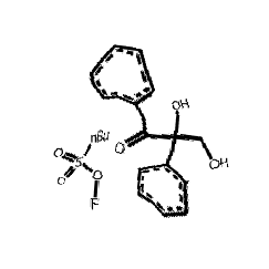 CCCCS(=O)(=O)OF.O=C(c1ccccc1)C(O)(CO)c1ccccc1